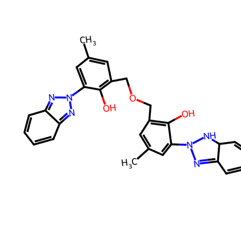 Cc1cc(COCc2cc(C)cc(-n3nc4ccccc4n3)c2O)c(O)c(N2N=C3C=CC=CC3N2)c1